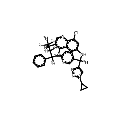 [2H]C(Nc1cc(Cl)c2ncc(C#N)c(NC([2H])(c3ccccc3)C([2H])([2H])C([2H])([2H])[2H])c2c1)(c1ccc(F)nc1)c1cn(C2CC2)nn1